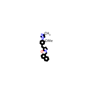 COc1cc(C=C2CCN(Cc3cccc4ccccc34)C2=O)ccc1-n1cnc(C)c1